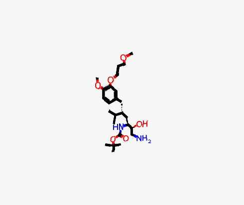 COCCCOc1cc(C[C@H](C[C@H](NC(=O)OC(C)(C)C)[C@@H](O)CN)C(C)C)ccc1OC